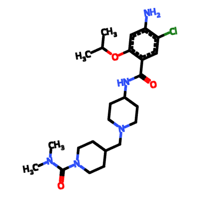 CC(C)Oc1cc(N)c(Cl)cc1C(=O)NC1CCN(CC2CCN(C(=O)N(C)C)CC2)CC1